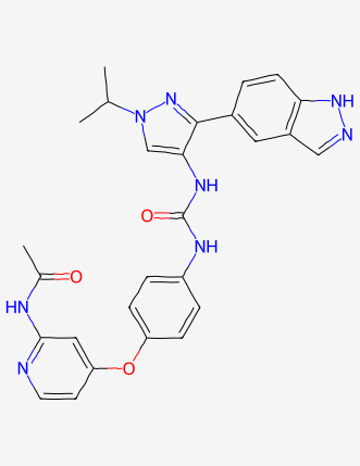 CC(=O)Nc1cc(Oc2ccc(NC(=O)Nc3cn(C(C)C)nc3-c3ccc4[nH]ncc4c3)cc2)ccn1